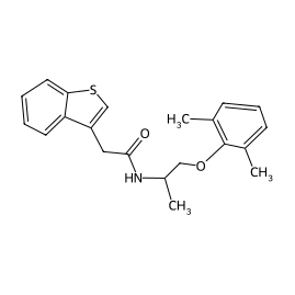 Cc1cccc(C)c1OCC(C)NC(=O)Cc1csc2ccccc12